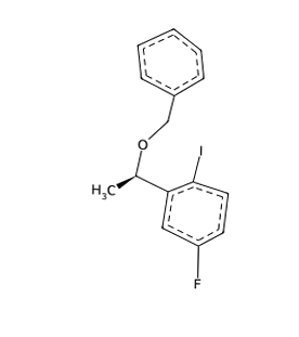 C[C@@H](OCc1ccccc1)c1cc(F)ccc1I